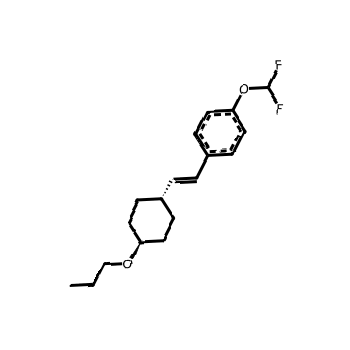 CCCO[C@H]1CC[C@H](C=Cc2ccc(OC(F)F)cc2)CC1